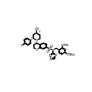 COc1ccc(CN(c2ncns2)S(=O)(=O)c2ccc3c(c2)OCC[C@@H]3N2CCC(C(F)(F)F)C[C@H]2c2ccc(F)cc2)c(OC)c1